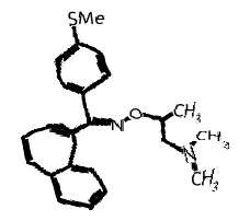 CSc1ccc(C(=NOC(C)CN(C)C)c2cccc3ccccc23)cc1